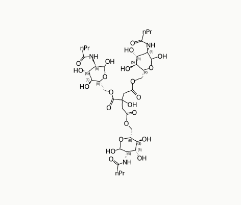 CCCC(=O)N[C@@H]1C(O)O[C@H](COC(=O)CC(O)(CC(=O)OC[C@H]2OC(O)[C@H](NC(=O)CCC)[C@@H](O)[C@@H]2O)C(=O)OC[C@H]2OC(O)[C@H](NC(=O)CCC)[C@@H](O)[C@@H]2O)[C@@H](O)[C@@H]1O